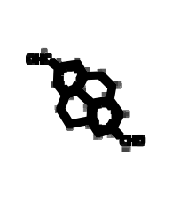 O=Cc1cc2c3c(c1)CCc1cc(C=O)cc(c1-3)CC2